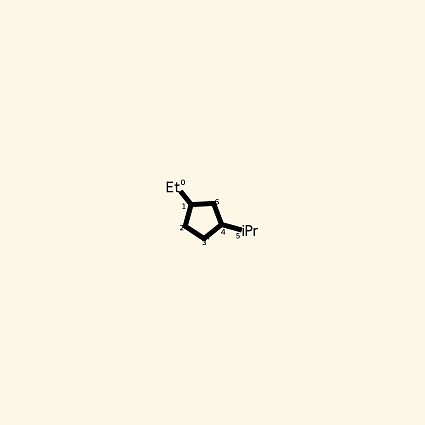 [CH2]CC1C[CH]C(C(C)C)C1